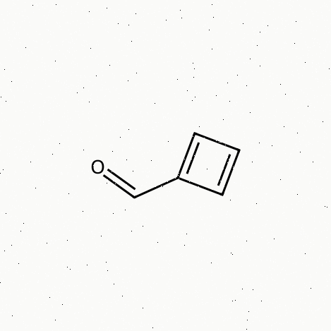 O=CC1=CC=C1